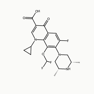 C[C@@H]1CN(c2c(F)cc3c(=O)c(C(=O)O)cn(C4CC4)c3c2OC(F)F)C[C@H](C)N1